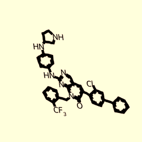 O=c1c(-c2ccc(-c3ccccc3)cc2Cl)cc2cnc(Nc3ccc(NC4CCNC4)cc3)nc2n1Cc1ccccc1C(F)(F)F